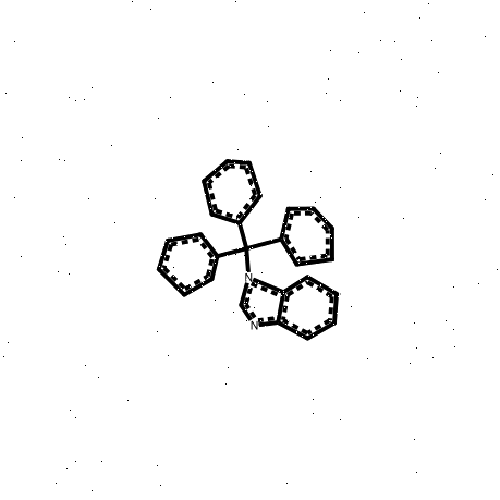 [c]1ccc2ncn(C(c3ccccc3)(c3ccccc3)c3ccccc3)c2c1